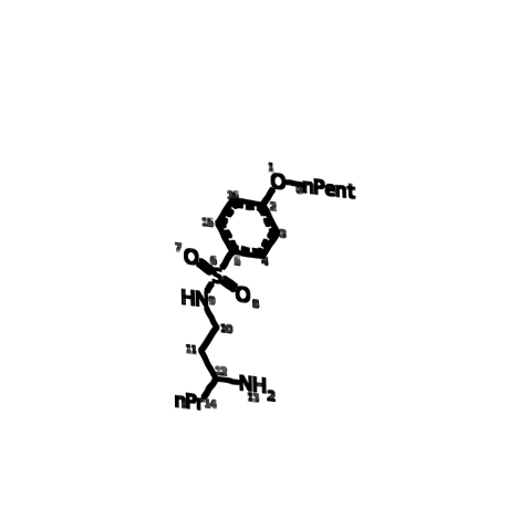 CCCCCOc1ccc(S(=O)(=O)NCCC(N)CCC)cc1